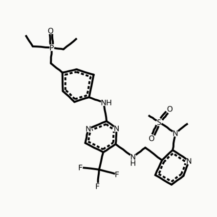 CCP(=O)(CC)Cc1ccc(Nc2ncc(C(F)(F)F)c(NCc3cccnc3N(C)S(C)(=O)=O)n2)cc1